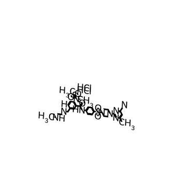 CNCCNCc1ccc(N(C)S(C)(=O)=O)c(C(=O)Nc2ccc(S(=O)(=O)N3CCN(c4nc(C)cc(C#N)n4)CC3)cc2)c1.Cl.Cl